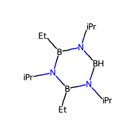 CCB1N(C(C)C)BN(C(C)C)B(CC)N1C(C)C